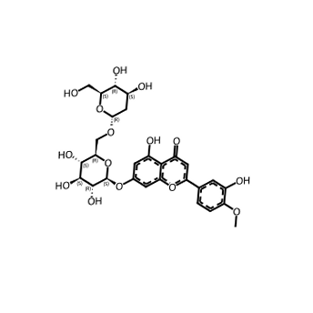 COc1ccc(-c2cc(=O)c3c(O)cc(O[C@@H]4O[C@H](CO[C@H]5C[C@H](O)[C@@H](O)[C@H](CO)O5)[C@@H](O)[C@H](O)[C@H]4O)cc3o2)cc1O